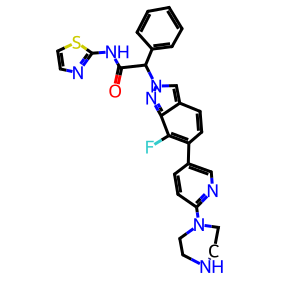 O=C(Nc1nccs1)C(c1ccccc1)n1cc2ccc(-c3ccc(N4CCNCC4)nc3)c(F)c2n1